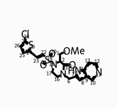 COCC1C(=O)N(Cc2cc3cnccc3[nH]2)CCN1S(=O)(=O)/C=C/c1ccc(Cl)s1